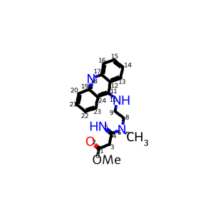 COC(=O)CC(=N)N(C)CCNc1c2ccccc2nc2ccccc12